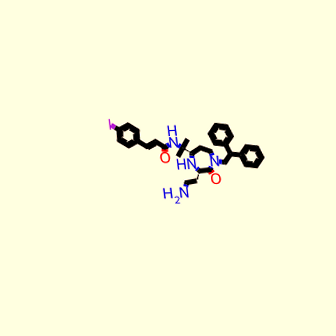 CC(C)(NC(=O)/C=C/c1ccc(I)cc1)[C@@H]1CCN(CC(c2ccccc2)c2ccccc2)C(=O)[C@H](CCN)N1